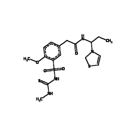 CCC(NC(=O)Cc1ccc(OC)c(S(=O)(=O)NC(=S)NC)c1)N1C=CSC1